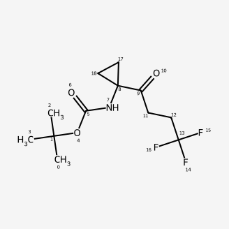 CC(C)(C)OC(=O)NC1(C(=O)CCC(F)(F)F)CC1